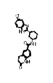 O=C1CCc2cc(C(=O)N[C@@H]3CCC[C@H](c4nc5cc(Cl)ccc5[nH]4)C3)ccc2N1